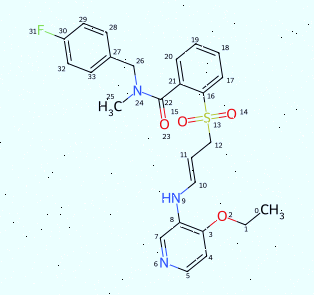 CCOc1ccncc1NC=CCS(=O)(=O)c1ccccc1C(=O)N(C)Cc1ccc(F)cc1